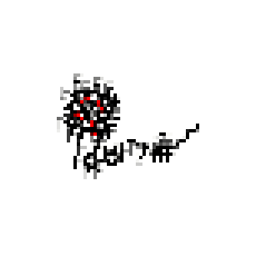 CCCCCCC(F)(F)C(F)(F)C(F)(F)[NH2+]CCCC.Fc1ccc(-c2c(F)c(F)c(F)c(F)c2F)c(F)c1F.Fc1ccc2c([B-](c3c(F)c(F)c(F)c4c(F)c(F)ccc34)(c3c(F)c(F)c(F)c4c(F)c(F)ccc34)c3c(F)c(F)c(F)c4c(F)c(F)ccc34)c(F)c(F)c(F)c2c1F